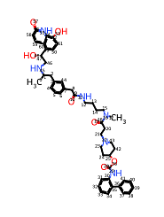 CC(Cc1cccc(CC(=O)NCCCCN(C)C(=O)CCN2CCC(OC(=O)Nc3ccccc3-c3ccccc3)CC2)c1)NC[C@H](O)c1ccc(O)c2[nH]c(=O)ccc12